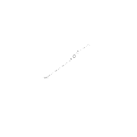 [N-]=[N+]=NCCOCCOCCOCCOCCOCCOCCC(=O)Oc1ccc(CNC(=O)CCOCCOCCN)cc1